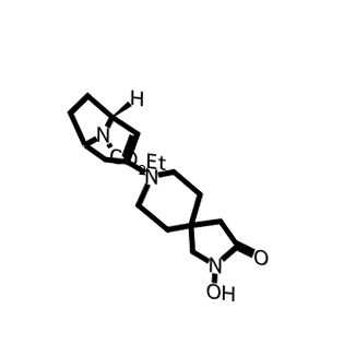 CCOC(=O)N1C2CC[C@@H]1C=C(N1CCC3(CC1)CC(=O)N(O)C3)C2